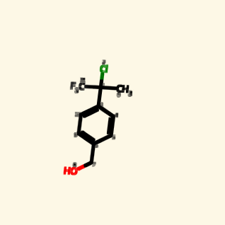 CC(Cl)(c1ccc(CO)cc1)C(F)(F)F